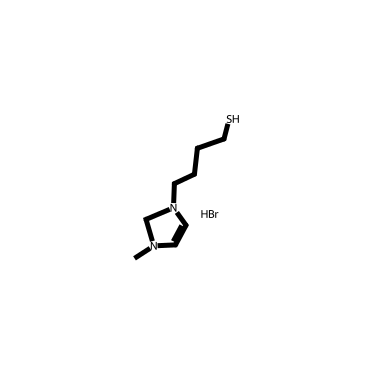 Br.CN1C=CN(CCCCS)C1